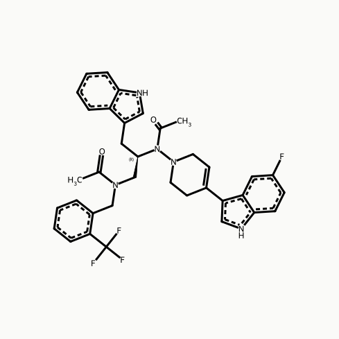 CC(=O)N(Cc1ccccc1C(F)(F)F)C[C@@H](Cc1c[nH]c2ccccc12)N(C(C)=O)N1CC=C(c2c[nH]c3ccc(F)cc23)CC1